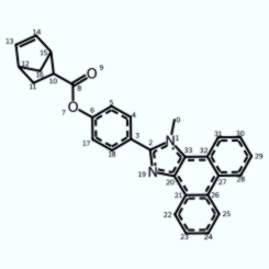 Cn1c(-c2ccc(OC(=O)C3CC4C=CC3C4)cc2)nc2c3ccccc3c3ccccc3c21